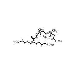 CCCCCCCCCCCCCCN(CCCCCCCCCCCCCC)C(=O)COC(C)(C)CCOC(C)(C)CCOC